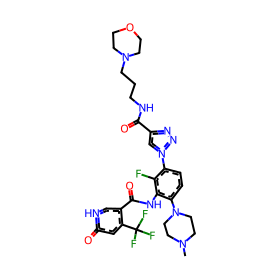 CN1CCN(c2ccc(-n3cc(C(=O)NCCCN4CCOCC4)nn3)c(F)c2NC(=O)c2c[nH]c(=O)cc2C(F)(F)F)CC1